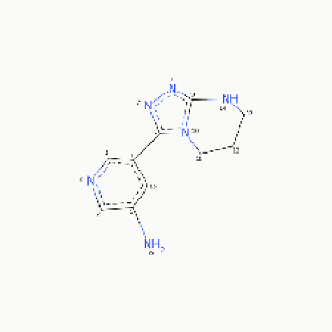 Nc1cncc(-c2nnc3n2CCCN3)c1